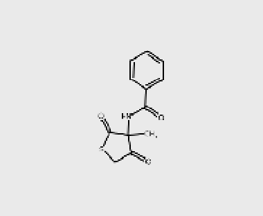 CC1(NC(=O)c2ccccc2)C(=O)CSC1=O